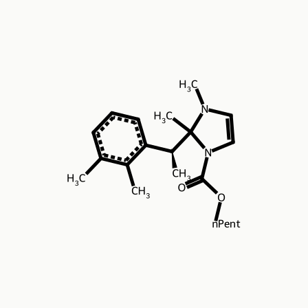 CCCCCOC(=O)N1C=CN(C)C1(C)[C@@H](C)c1cccc(C)c1C